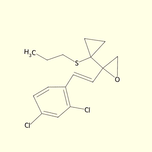 CCCSC1(C2(C=Cc3ccc(Cl)cc3Cl)CO2)CC1